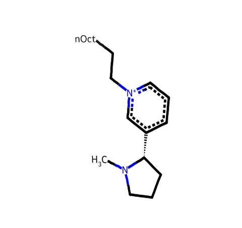 CCCCCCCCCC[n+]1cccc([C@@H]2CCCN2C)c1